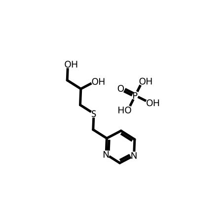 O=P(O)(O)O.OCC(O)CSCc1ccncn1